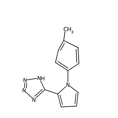 Cc1ccc(-n2cccc2-c2nnn[nH]2)cc1